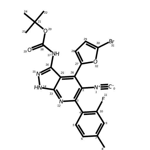 [C-]#[N+]c1c(-c2ccc(C)cc2F)nc2[nH]nc(NC(=O)OC(C)(C)C)c2c1-c1ccc(Br)o1